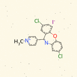 C[n+]1ccc(C2=Nc3cc(Cl)ccc3Oc3ccc(Cl)cc32)cc1.[I-]